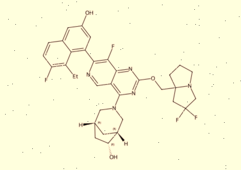 CCc1c(F)ccc2cc(O)cc(-c3ncc4c(N5C[C@@H]6C[C@H](C5)[C@H](O)C6)nc(OCC56CCCN5CC(F)(F)C6)nc4c3F)c12